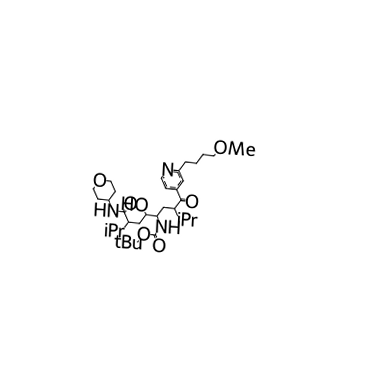 COCCCCc1cc(C(=O)C(CC(NC(=O)OC(C)(C)C)C(O)CC(C(=O)NC2CCOCC2)C(C)C)C(C)C)ccn1